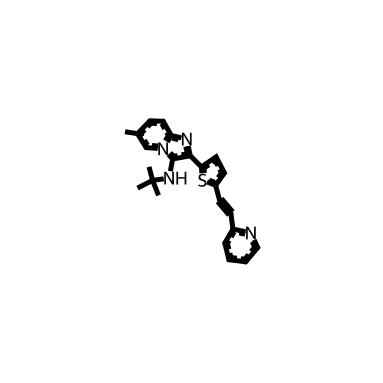 Cc1ccc2nc(-c3ccc(C#Cc4ccccn4)s3)c(NC(C)(C)C)n2c1